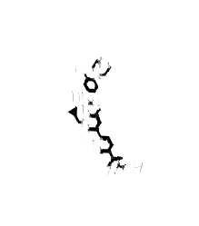 Cn1cc(-c2ccc(-c3cc4cnc(Nc5ccc(N6CCNCC6)c(Cl)c5)nc4n(CC4CC4)c3=O)nc2)cn1